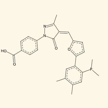 CC1=NN(c2ccc(C(=O)O)cc2)C(=O)C1=Cc1ccc(-c2cc(C)c(C)cc2P(C)C)o1